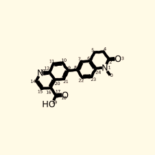 CN1C(=O)CCc2cc(-c3ccc4nccc(C(=O)O)c4c3)ccc21